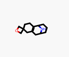 C1CC2CC3=C(CCC4(COC4)C3)C(C1)N2